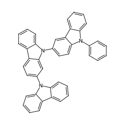 c1ccc(-n2c3ccccc3c3cc(-n4c5ccccc5c5ccc(-n6c7ccccc7c7ccccc76)cc54)ccc32)cc1